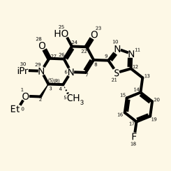 CCOC[C@@H]1[C@@H](C)n2cc(-c3nnc(Cc4ccc(F)cc4)s3)c(=O)c(O)c2C(=O)N1C(C)C